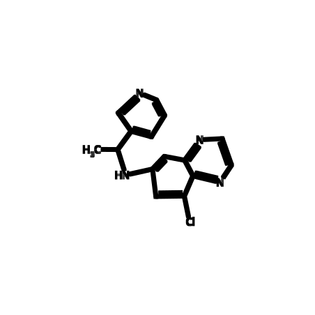 CC(Nc1cc(Cl)c2nccnc2c1)c1cccnc1